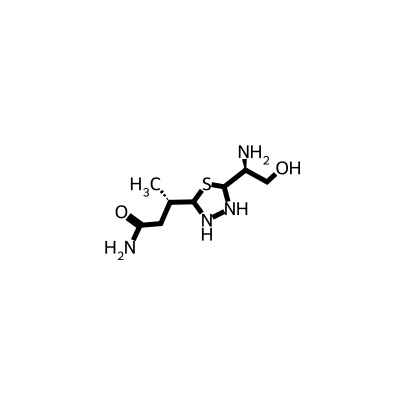 C[C@@H](CC(N)=O)C1NNC([C@@H](N)CO)S1